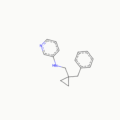 c1ccc(CC2(CNc3cccnc3)CC2)cc1